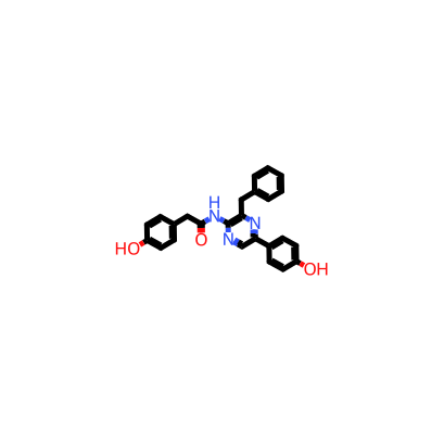 O=C(Cc1ccc(O)cc1)Nc1ncc(-c2ccc(O)cc2)nc1Cc1ccccc1